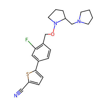 N#Cc1ccc(-c2ccc(CON3CCCC3CN3CCCC3)c(F)c2)s1